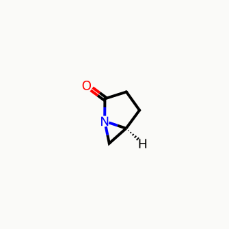 O=C1CC[C@H]2CN12